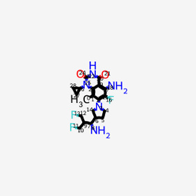 Cc1c(N2CCC(C(N)C(CF)CF)C2)c(F)c(N)c2c(=O)[nH]c(=O)n(C3CC3)c12